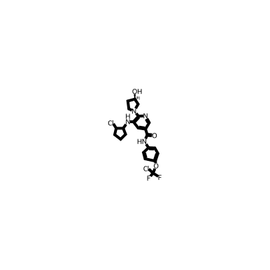 O=C(Nc1ccc(OC(F)(F)Cl)cc1)c1cnc(N2CC[C@@H](O)C2)c(NC2CCCC2Cl)c1